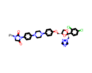 CC(C)N1CC(=O)N(c2ccc(N3CCN(c4ccc(OC[C@@H]5CO[C@@](Cn6cncn6)(c6ccc(Cl)cc6Cl)O5)cc4)CC3)cc2)C1=O